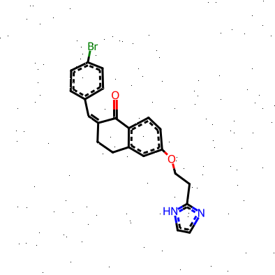 O=C1C(=Cc2ccc(Br)cc2)CCc2cc(OCCc3ncc[nH]3)ccc21